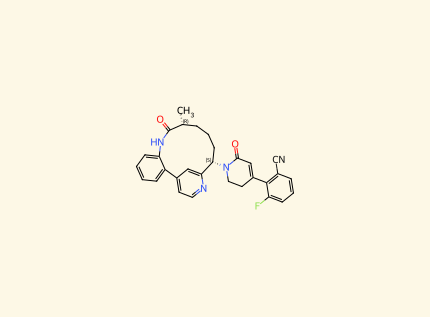 C[C@@H]1CCC[C@H](N2CCC(c3c(F)cccc3C#N)=CC2=O)c2cc(ccn2)-c2ccccc2NC1=O